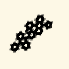 C1=CC(c2c3ccccc3c(-c3ccsc3)c3ccccc23)C2C(=C1)SC1=C2C=CCC1c1c2ccccc2c(-c2ccccc2)c2ccccc12